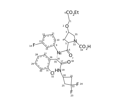 CCOC(=O)COC1CC(C(=O)N(c2cccc(F)c2)[C@H](C(=O)NC2CC(F)(F)C2)c2ccccc2Cl)N(C(=O)O)C1